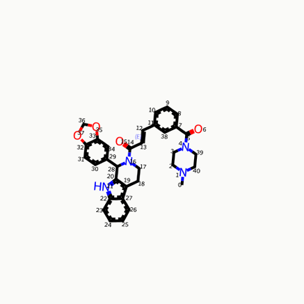 CN1CCN(C(=O)c2cccc(/C=C/C(=O)N3CCc4c([nH]c5ccccc45)C3c3ccc4c(c3)OCO4)c2)CC1